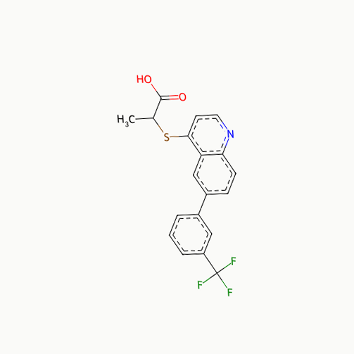 CC(Sc1ccnc2ccc(-c3cccc(C(F)(F)F)c3)cc12)C(=O)O